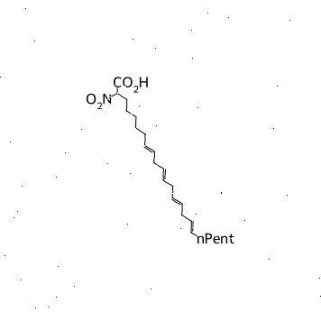 CCCCCC=CCC=CCC=CCC=CCCCCCC(C(=O)O)[N+](=O)[O-]